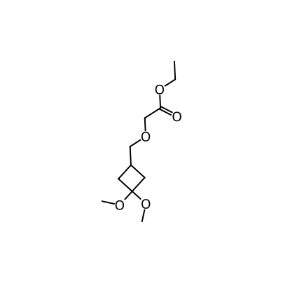 CCOC(=O)COCC1CC(OC)(OC)C1